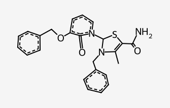 CC1=C(C(N)=O)SC(n2cccc(OCc3ccccc3)c2=O)N1Cc1ccccc1